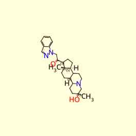 C[C@@]1(O)CCC2[C@H]3CC[C@]4(C)[C@@H](C(=O)Cn5ncc6ccccc65)CC[C@H]4C3CCN2C1